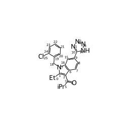 CCc1c(C(=O)C(C)C)c2ccc(-c3nnn[nH]3)cc2n1Cc1ccccc1Cl